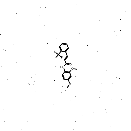 COc1ccc(NC(=O)C=Cc2ccccc2C(F)(F)F)c(OC)c1